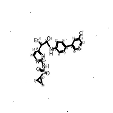 CCC(C(=O)Nc1ccc(-c2cncc(Cl)c2)cc1)c1ccnc(NS(=O)(=O)C2CC2)n1